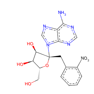 Nc1ncnc2c1ncn2[C@]1(Cc2ccccc2[N+](=O)[O-])O[C@H](CO)[C@@H](O)[C@H]1O